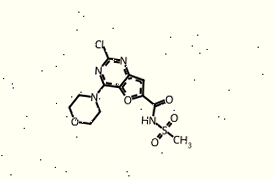 CS(=O)(=O)NC(=O)c1cc2nc(Cl)nc(N3CCOCC3)c2o1